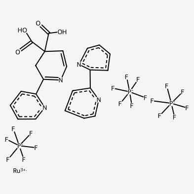 F[P-](F)(F)(F)(F)F.F[P-](F)(F)(F)(F)F.F[P-](F)(F)(F)(F)F.O=C(O)C1(C(=O)O)C=CN=C(c2ccccn2)C1.[Ru+3].c1ccc(-c2ccccn2)nc1